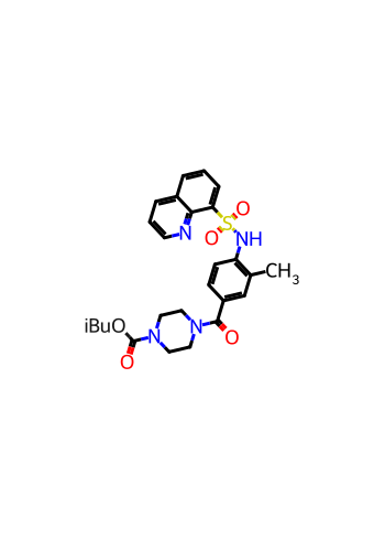 Cc1cc(C(=O)N2CCN(C(=O)OCC(C)C)CC2)ccc1NS(=O)(=O)c1cccc2cccnc12